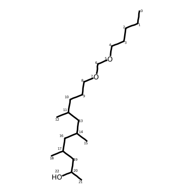 CCCCCOCOCCCC(C)CC(C)CC(C)CC(C)O